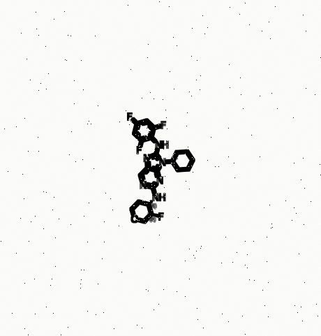 Fc1cc(F)c(Nc2nc3cnc(N[C@H]4CCOC[C@@H]4F)nc3n2C2CCCCC2)c(F)c1